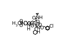 CS(=O)(=O)N1CCC2(CC1)CC(CC(NC(=O)[C@H](CC1CCCCC1)NC(=O)OCc1cccc(Cl)c1)C(=O)C(=O)NC1CC1)C(=O)N2